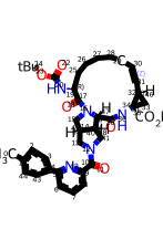 Cc1ccc(-c2cccc(C(=O)N3C[C@H]4CN5C(=O)[C@H](NC(=O)OC(C)(C)C)CCCCC/C=C\[C@H]6C[C@@]6(C(=O)O)NC(=O)[C@@H]5[C@H]4C3)n2)cc1